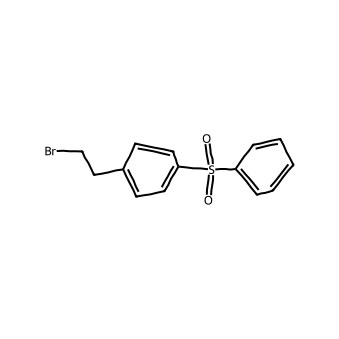 O=S(=O)(c1ccccc1)c1ccc(CCBr)cc1